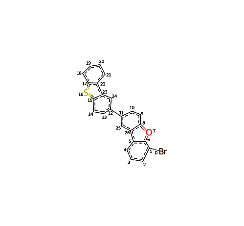 Brc1cccc2c1oc1ccc(-c3ccc4sc5ccccc5c4c3)cc12